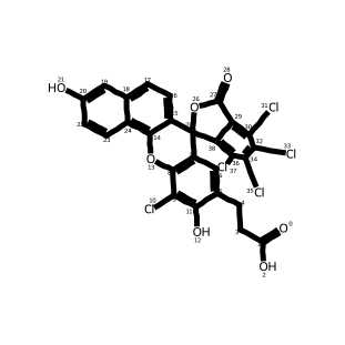 O=C(O)CCc1cc2c(c(Cl)c1O)Oc1c(ccc3cc(O)ccc13)C21OC(=O)c2c(Cl)c(Cl)c(Cl)c(Cl)c21